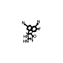 CN1C(=N)N[C@](C)(c2cccc(C#N)c2)[C@@H](c2ccc(C#N)c(F)c2)C1=O